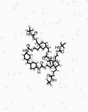 CC(C)(C)NC(=O)SCCC1CCC(CCSC(=O)NC(C)(C)C)C(CCSC(=O)NC2CCC(CC3CCC(NC(=O)SCCC4CC(CCSC(=O)NC(C)(C)C)CCC4CCSC(=O)NC(C)(C)C)CC3)CC2)C1